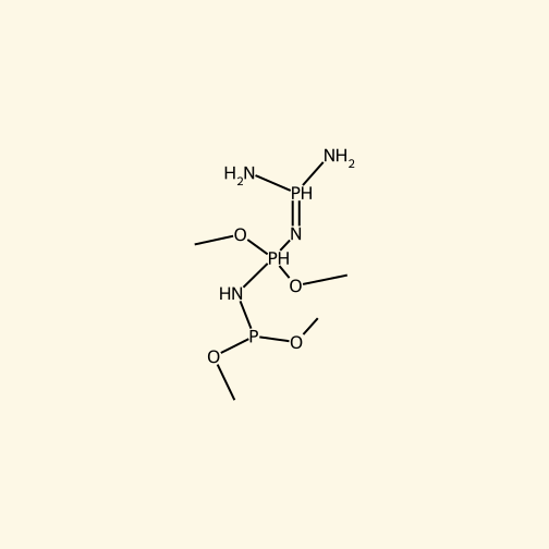 COP(N[PH](N=[PH](N)N)(OC)OC)OC